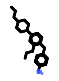 CCCc1cc(C2CCC(CCC)CC2)ccc1Cc1ccc(N)cc1